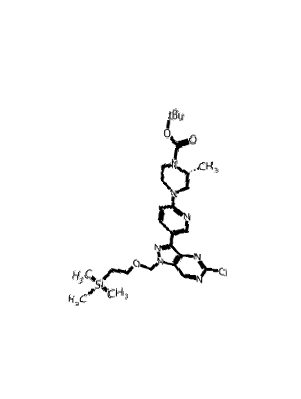 C[C@@H]1CN(c2ccc(-c3nn(COCC[Si](C)(C)C)c4cnc(Cl)nc34)cn2)CCN1C(=O)OC(C)(C)C